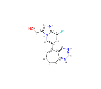 OCc1cnc2c(F)cc(C3=CCCCc4ncncc43)cn12